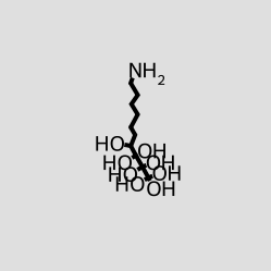 NCCCCCCC(O)C(O)(O)C(O)(O)C(O)(O)O